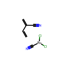 C=CC(=C)C#N.N#[C][Ru]([Cl])[Cl]